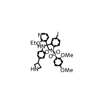 CCOc1ncccc1C1(Nc2ccc(C3CNC3)cc2)C(=O)N(S(=O)(=O)c2ccc(OC)cc2OC)c2ccc(I)cc21